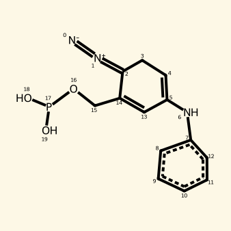 [N-]=[N+]=C1CC=C(Nc2ccccc2)C=C1COP(O)O